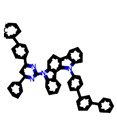 c1ccc(-c2ccc(-c3cc(-c4ccccc4)nc(-n4c5ccccc5c5c4ccc4c6ccccc6n(-c6ccc(-c7cccc(-c8ccccc8)c7)cc6)c45)n3)cc2)cc1